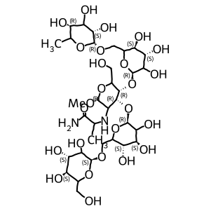 CO[C@@H]1OC(CO)[C@H](O[C@H]2OC(CO[C@@H]3OC(C)[C@H](O)C(O)[C@@H]3O)[C@@H](O)[C@H](O)C2O)[C@H](O[C@@H]2OC(CO[C@H]3OC(CO)[C@@H](O)[C@H](O)C3O)[C@@H](O)[C@H](O)C2O)C1NC(C)C(N)=O